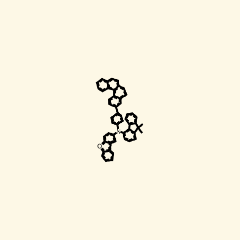 CC1(C)c2ccccc2-c2c(N(c3ccc(-c4ccc5c(ccc6ccc7ccccc7c65)c4)cc3)c3ccc4oc5ccccc5c4c3)cccc21